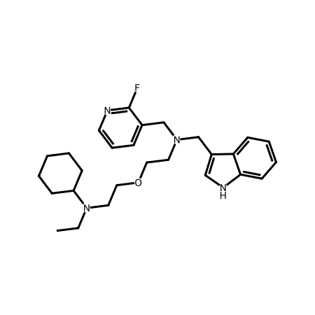 CCN(CCOCCN(Cc1cccnc1F)Cc1c[nH]c2ccccc12)C1CCCCC1